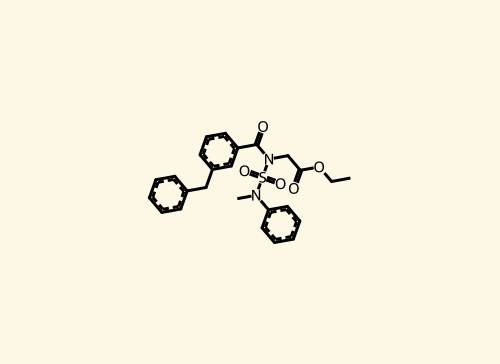 CCOC(=O)CN(C(=O)c1cccc(Cc2ccccc2)c1)S(=O)(=O)N(C)c1ccccc1